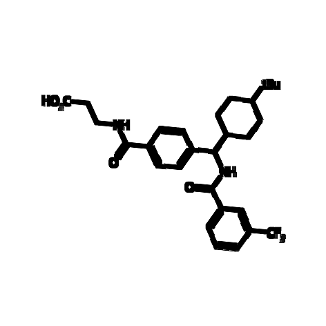 CC(C)(C)C1CCC(C(NC(=O)c2cccc(C(F)(F)F)c2)c2ccc(C(=O)NCCC(=O)O)cc2)CC1